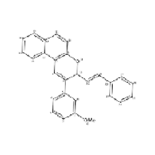 COc1cccc(C2=Cc3c(ccc4ccccc34)OC2C=Cc2ccccc2)c1